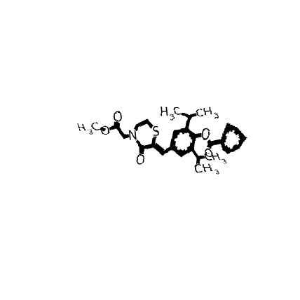 COC(=O)CN1CCSC(=Cc2cc(C(C)C)c(OC(=O)c3ccccc3)c(C(C)C)c2)C1=O